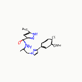 COc1cc(-c2ccn(CC(C)NC(=O)c3cc(C(C)=O)[nH]n3)n2)ccc1C#N